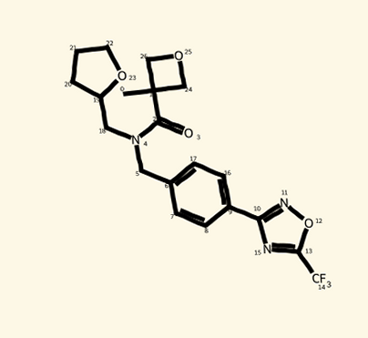 CC1(C(=O)N(Cc2ccc(-c3noc(C(F)(F)F)n3)cc2)CC2CCCO2)COC1